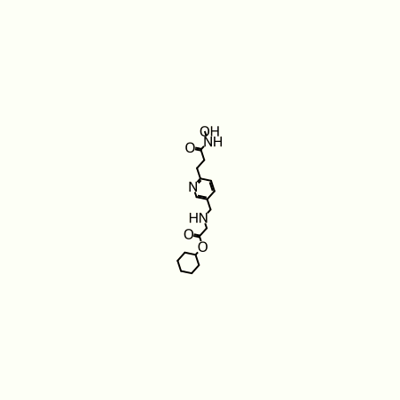 O=C(CCc1ccc(CNCC(=O)OC2CCCCC2)cn1)NO